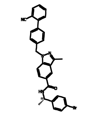 Cc1nn(Cc2ccc(-c3ccccc3C#N)cc2)c2ccc(C(=O)N[C@@H](C)c3ccc(Br)cc3)cc12